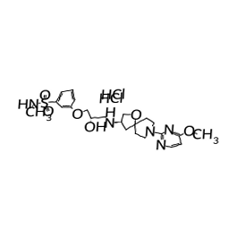 CNS(=O)(=O)c1cccc(OC[C@@H](O)CN[C@H]2COC3(CCN(c4nccc(OC)n4)CC3)C2)c1.Cl.Cl